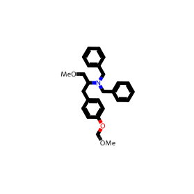 COCOc1ccc(CC(COC)N(Cc2ccccc2)Cc2ccccc2)cc1